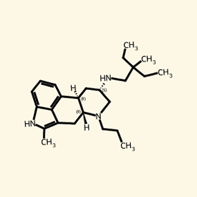 CCCN1C[C@@H](NCC(C)(CC)CC)C[C@@H]2c3cccc4[nH]c(C)c(c34)C[C@H]21